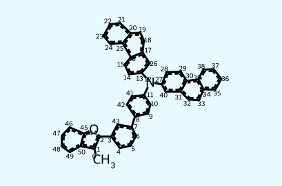 Cc1c(-c2cccc(-c3ccc(N(c4ccc5c(ccc6ccccc65)c4)c4ccc5c(ccc6ccccc65)c4)cc3)c2)oc2ccccc12